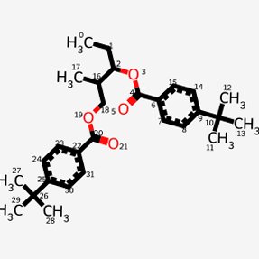 CCC(OC(=O)c1ccc(C(C)(C)C)cc1)C(C)COC(=O)c1ccc(C(C)(C)C)cc1